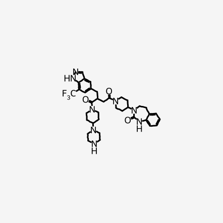 O=C(CC(Cc1cc(C(F)(F)F)c2[nH]ncc2c1)C(=O)N1CCC(N2CCNCC2)CC1)N1CCC(N2CCc3ccccc3NC2=O)CC1